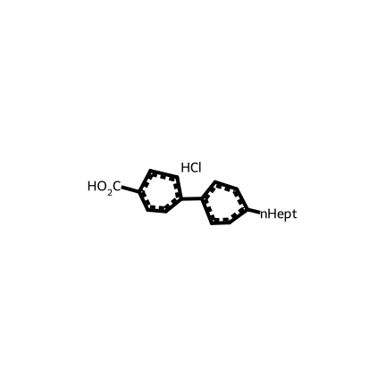 CCCCCCCc1ccc(-c2ccc(C(=O)O)cc2)cc1.Cl